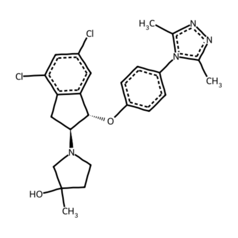 Cc1nnc(C)n1-c1ccc(O[C@H]2c3cc(Cl)cc(Cl)c3C[C@@H]2N2CCC(C)(O)C2)cc1